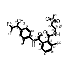 Cc1cc(C(C(F)F)C(F)(F)F)ccc1NC(=O)c1cccc(I)c1C(=O)N[C@@H](C)CS(C)(=O)=O